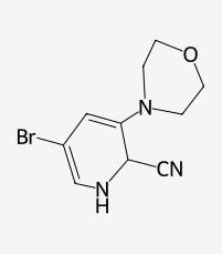 N#CC1NC=C(Br)C=C1N1CCOCC1